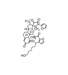 C[C@@H]1C[C@H]2[C@@H]3CCC4=CC(=O)C=C[C@]4(C)C3(Cl)[C@@H](OC(=O)c3occc3C(O)CCCCCO)C[C@]2(C)[C@@]1(OC(=O)c1ccco1)C(=O)CCl